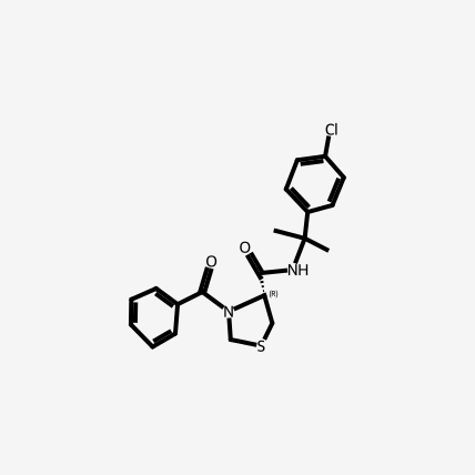 CC(C)(NC(=O)[C@@H]1CSCN1C(=O)c1ccccc1)c1ccc(Cl)cc1